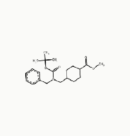 COC(=O)C1CCC(CN(Cc2ccccc2)C(=O)OC(C)(C)C)CC1